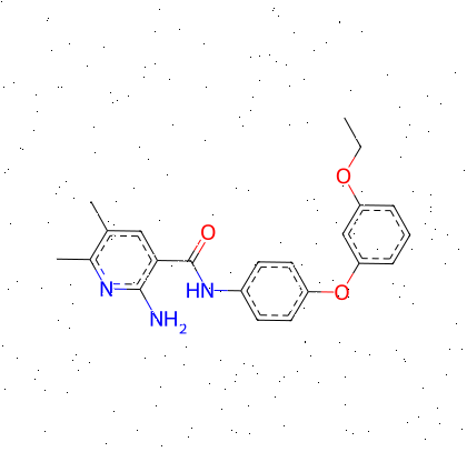 CCOc1cccc(Oc2ccc(NC(=O)c3cc(C)c(C)nc3N)cc2)c1